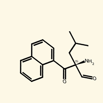 CC(C)C[C@](N)(C=O)C(=O)c1cccc2ccccc12